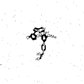 COc1cc(N2CCN(C[C@H](O)CO)CC2)ccc1Nc1ncc2ccc(-c3cc(Cl)ccc3OC)n2n1